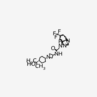 CC(C)(O)[C@H]1CC[C@H](N2CC(NC(=O)CNc3ncnc4ccc(C(F)(F)F)cc34)C2)CC1